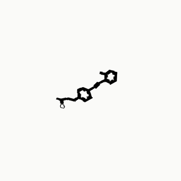 CC(=O)CCc1ccc(C#Cc2ccccc2C)cc1